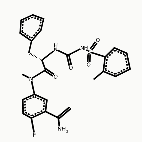 C=C(N)c1cc(N(C)C(=O)[C@H](Cc2ccccc2)NC(=O)NS(=O)(=O)c2ccccc2C)ccc1F